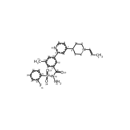 CC=CN1CCC(c2ccnc(-c3cc(C)cc(C(=O)N(N)S(=O)(=O)c4ccccc4F)c3)c2)CC1